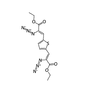 CCOC(=O)/C(=C/c1ccc(/C=C(\N=[N+]=[N-])C(=O)OCC)s1)N=[N+]=[N-]